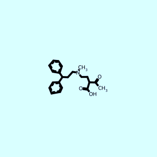 CC(=O)C(CCN(C)CCC(c1ccccc1)c1ccccc1)C(=O)O